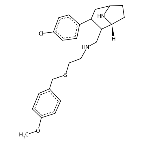 COc1ccc(CSCCNCC2C(c3ccc(Cl)cc3)CC3CC[C@H]2N3)cc1